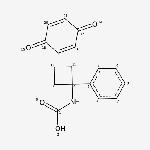 O=C(O)NC1(c2ccccc2)CCC1.O=C1C=CC(=O)C=C1